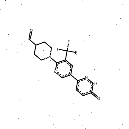 O=CC1CCN(c2ncc(-c3ccc(=O)[nH]n3)cc2C(F)(F)F)CC1